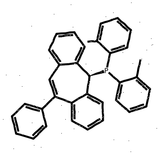 Cc1ccccc1P(c1ccccc1C)[C@@H]1c2ccccc2C=C(c2ccccc2)c2ccccc21